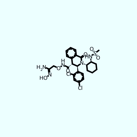 CS(=O)(=O)N[C@H]1CCCC[C@@H]1N1C(=O)c2ccccc2[C@@H](C(=O)NOCC(N)=NO)[C@@H]1c1ccc(Cl)cc1Cl